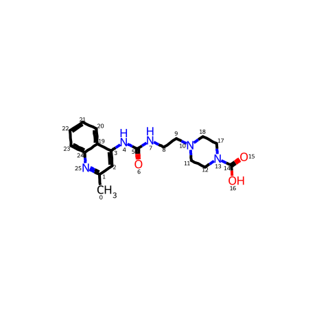 Cc1cc(NC(=O)NCCN2CCN(C(=O)O)CC2)c2ccccc2n1